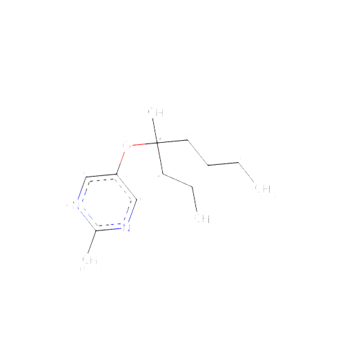 CCCCC(C)(CCC)Oc1cnc(C)nc1